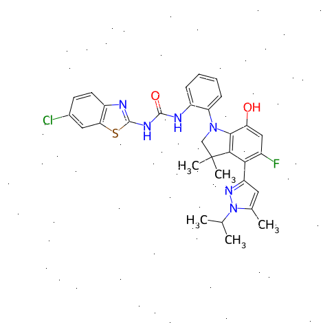 Cc1cc(-c2c(F)cc(O)c3c2C(C)(C)CN3c2ccccc2NC(=O)Nc2nc3ccc(Cl)cc3s2)nn1C(C)C